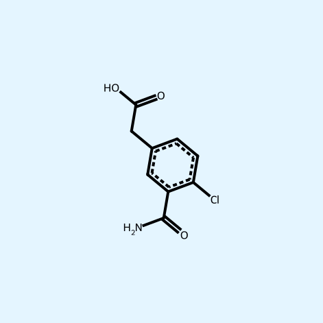 NC(=O)c1cc(CC(=O)O)ccc1Cl